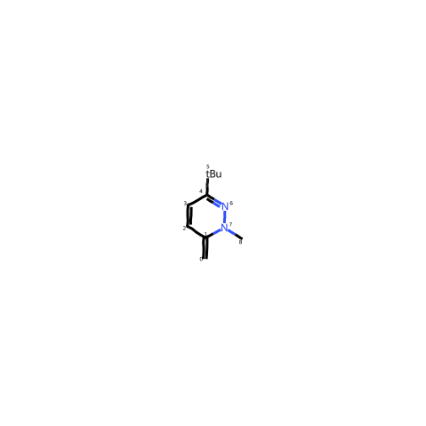 C=C1C=CC(C(C)(C)C)=NN1C